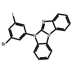 Brc1cc(I)cc(-n2c3ccccc3n3c4ccccc4nc23)c1